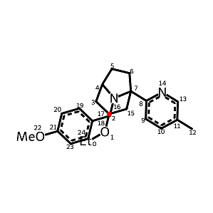 CCOC1CC2CCC(c3ccc(C)cn3)(C1)N2Cc1ccc(OC)cc1